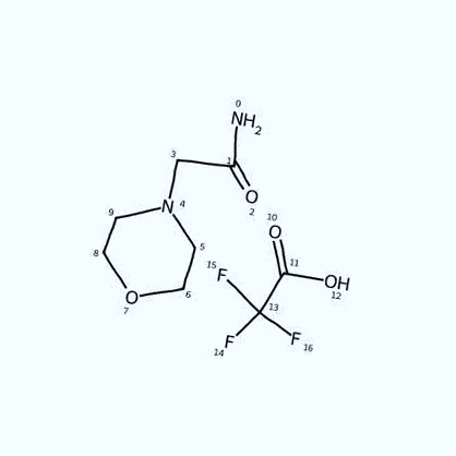 NC(=O)CN1CCOCC1.O=C(O)C(F)(F)F